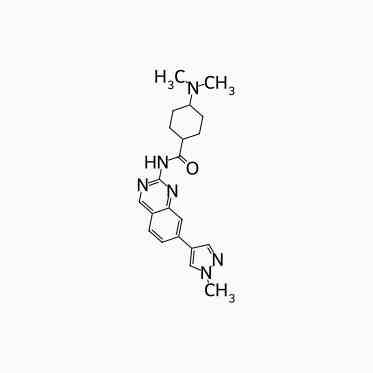 CN(C)C1CCC(C(=O)Nc2ncc3ccc(-c4cnn(C)c4)cc3n2)CC1